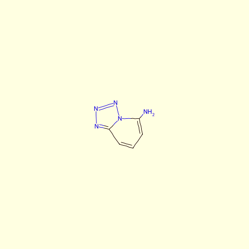 Nc1cccc2nnnn12